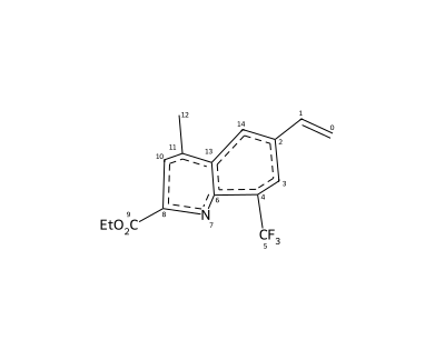 C=Cc1cc(C(F)(F)F)c2nc(C(=O)OCC)cc(C)c2c1